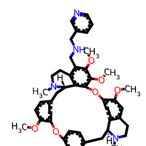 COc1ccc2cc1Oc1ccc(cc1)C[C@H]1c3cc(c(OC)cc3CCN1C)Oc1c(OC)c(OC)c(CNCc3cccnc3)c3c1[C@H](C2)N(C)CC3